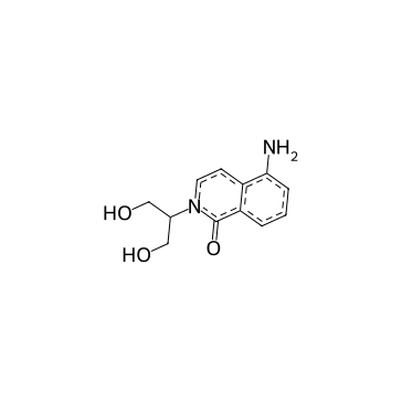 Nc1cccc2c(=O)n(C(CO)CO)ccc12